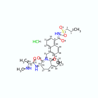 CCCS(=O)(=O)NC(=O)c1cccc2c(CN3C(=O)[C@@H](NC(=O)[C@H](C)NC)CCc4ccccc43)c(OC)ccc12.Cl